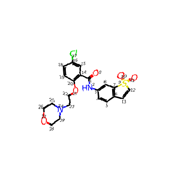 O=C(Nc1ccc2c(c1)S(=O)(=O)C=C2)c1cc(Cl)ccc1OCCN1CCOCC1